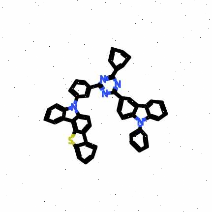 c1ccc(-c2nc(-c3cccc(-n4c5ccccc5c5c6sc7ccccc7c6ccc54)c3)nc(-c3ccc4c(c3)c3ccccc3n4-c3ccccc3)n2)cc1